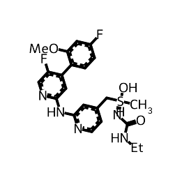 CCNC(=O)N=[SH](C)(O)Cc1ccnc(Nc2cc(-c3ccc(F)cc3OC)c(F)cn2)c1